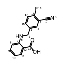 N#Cc1cc(CNc2ccccc2C(=O)O)ccc1F